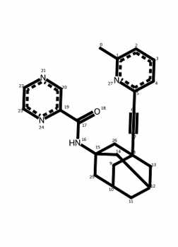 Cc1cccc(C#CC23CC4CC(C2)CC(NC(=O)c2cnccn2)(C4)C3)n1